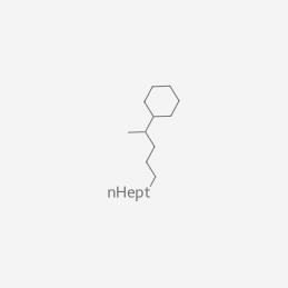 CCCCCCCCCCC(C)C1CCCCC1